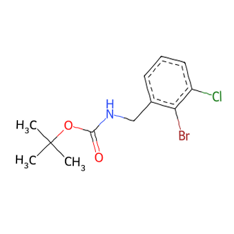 CC(C)(C)OC(=O)NCc1cccc(Cl)c1Br